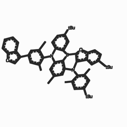 Cc1cc2c3c(c1)N(c1c(C)cc(C(C)(C)C)cc1C)c1c(oc4ccc(C(C)(C)C)cc14)B3c1cc(C(C)(C)C)ccc1N2c1c(C)cc(-c2coc3ccccc23)cc1C